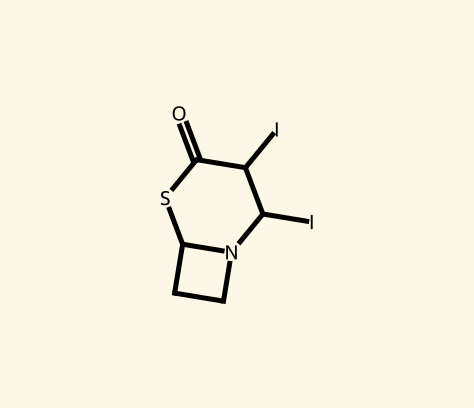 O=C1SC2CCN2C(I)C1I